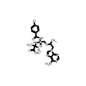 CC(Cn1cnc2c(N)ncnc21)OCP(=O)(NC(=O)c1ccc(Cl)cc1)NC(C)(C)C(=O)O